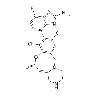 Nc1nc2c(-c3c(Cl)cc4c(c3Cl)OC(=O)C=C3CNCCN3C4)ccc(F)c2s1